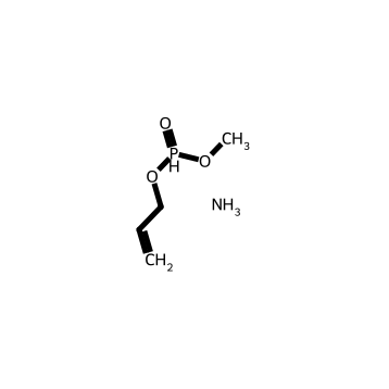 C=CCO[PH](=O)OC.N